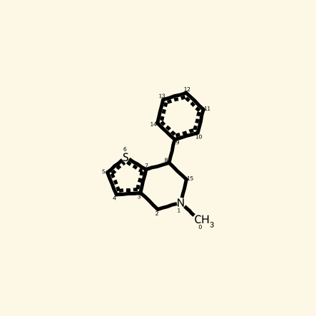 CN1Cc2ccsc2C(c2ccccc2)C1